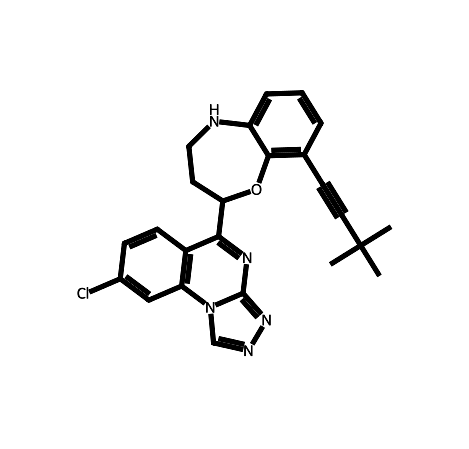 CC(C)(C)C#Cc1cccc2c1OC(c1nc3nncn3c3cc(Cl)ccc13)CCN2